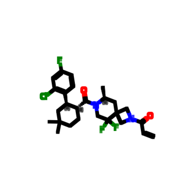 C=CC(=O)N1CC2(C[C@H](C)N(C(=O)[C@@H]3CCC(C)(C)C[C@H]3c3ccc(F)cc3Cl)CC2(F)F)C1